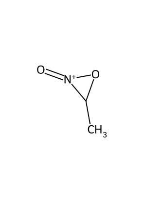 CC1O[N+]1=O